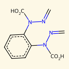 C=NN(C(=O)O)c1ccccc1N(N=C)C(=O)O